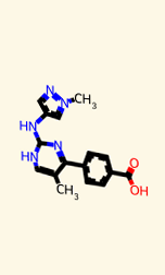 CC1=CNC(Nc2cnn(C)c2)N=C1c1ccc(C(=O)O)cc1